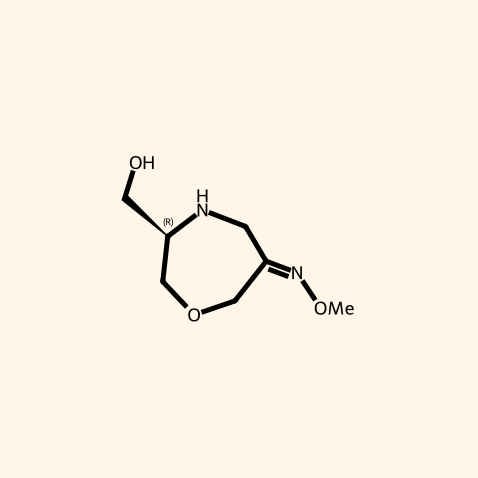 CON=C1CN[C@H](CO)COC1